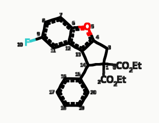 CCOC(=O)C1(C(=O)OCC)Cc2oc3ccc(F)cc3c2C1c1ccccc1